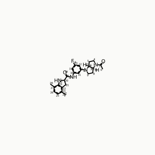 CC(=O)N1CC[C@@H]2[C@@H]1CCN2c1cc(F)cc(NC(=O)C2Cc3c(F)ccc(C)c3N2)c1